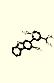 Cc1cc2c(cc1-c1cc(C(C)C)cc[n+]1C)oc1ccccc12